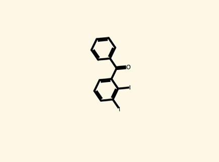 O=C(c1ccccc1)c1cccc(I)c1I